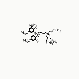 CCCC[N+](CCCC)(CCCC)CCCC.Cc1ccc([S-])c([S-])c1.Cc1ccc([S-])c([S-])c1.[Ni+3]